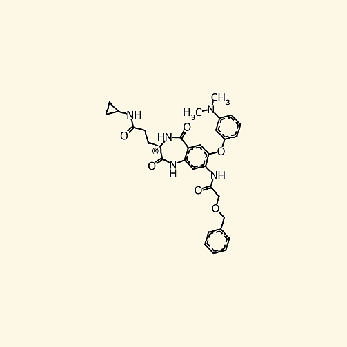 CN(C)c1cccc(Oc2cc3c(cc2NC(=O)COCc2ccccc2)NC(=O)[C@@H](CCC(=O)NC2CC2)NC3=O)c1